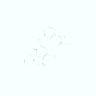 Cc1cc(Nc2cc(NC(=O)C(C)C)ncn2)c(=O)n2c1C(=O)CC21CCCC1